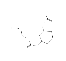 COC(=O)OC1CCCC(OC(=O)OCCO)C1